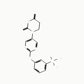 C[Si](C)(C)c1cccc(Oc2ncc(N3CCC(=O)NC3=O)cn2)c1